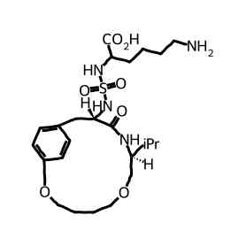 CC(C)[C@H]1COCCCCOc2ccc(cc2)C[C@H](NS(=O)(=O)NC(CCCCN)C(=O)O)C(=O)N1